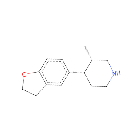 C[C@@H]1CNCC[C@@H]1c1ccc2c(c1)CCO2